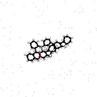 c1cc(-c2ccc3sc4ccccc4c3c2)cc(N(c2ccccc2-c2cccc3ccccc23)c2cccc3oc4ccccc4c23)c1